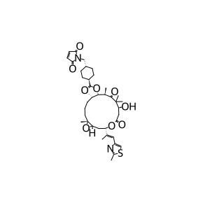 C/C(=C\c1csc(C)n1)[C@@H]1C[C@@H]2O[C@]2(C)CCC[C@H](C)[C@H](OC(=O)[C@H]2CC[C@H](CN3C(=O)C=CC3=O)CC2)[C@@H](C)C(=O)C(C)(C)[C@@H](O)CC(=O)O1